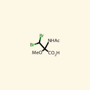 COC(NC(C)=O)(C(=O)O)C(Br)Br